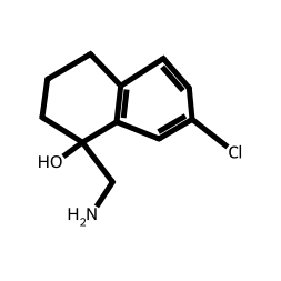 NCC1(O)CCCc2ccc(Cl)cc21